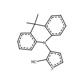 CC1(C)c2ccccc2N(c2ccsc2C#N)c2ccccc21